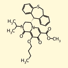 CCCCOc1c2n(cc(C(=O)OC)c1=O)[C@@H](C1c3ccccc3CSc3ccccc31)CN(C(C)C)C2=O